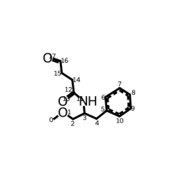 COCC(Cc1ccccc1)NC(=O)CCC=O